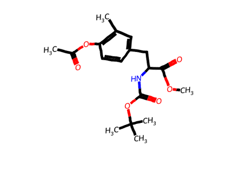 COC(=O)C(Cc1ccc(OC(C)=O)c(C)c1)NC(=O)OC(C)(C)C